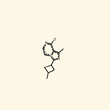 [CH2]C1CC(c2nc(I)c3c(Cl)nccn23)C1